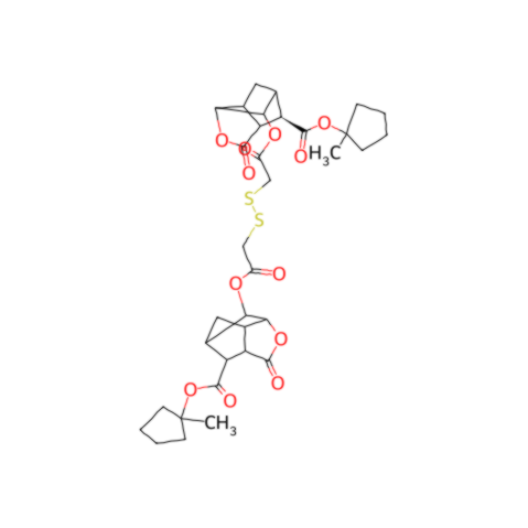 CC1(OC(=O)C2C3CC4C(OC(=O)C42)C3OC(=O)CSSCC(=O)OC2C3OC(=O)C4C3CC2[C@H]4C(=O)OC2(C)CCCC2)CCCC1